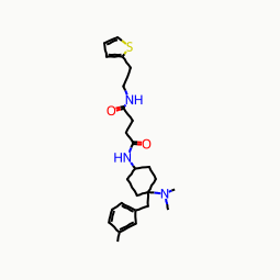 Cc1cccc(CC2(N(C)C)CCC(NC(=O)CCC(=O)NCCc3cccs3)CC2)c1